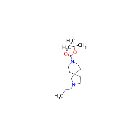 CCCN1CCC2(CCN(C(=O)OC(C)(C)C)CC2)C1